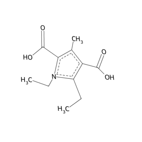 CCc1c(C(=O)O)c(C)c(C(=O)O)n1CC